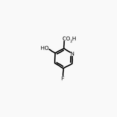 O=C(O)c1ncc(F)cc1O